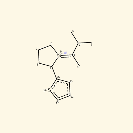 C/C(C(C)C)=[N+]1/CCCC1c1cccs1